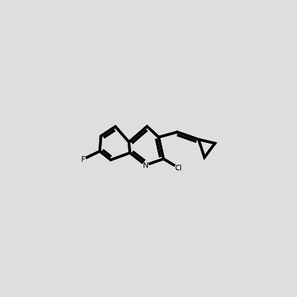 Fc1ccc2cc(C=C3CC3)c(Cl)nc2c1